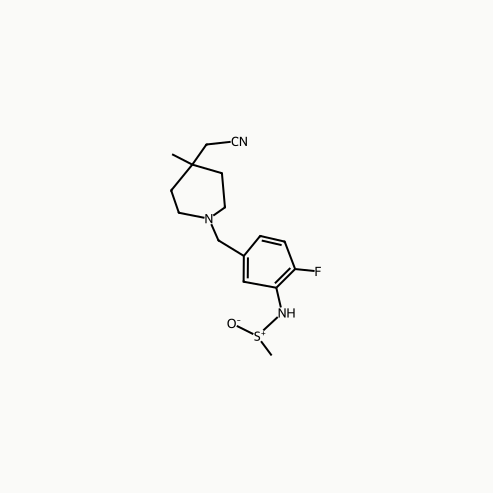 C[S+]([O-])Nc1cc(CN2CCC(C)(CC#N)CC2)ccc1F